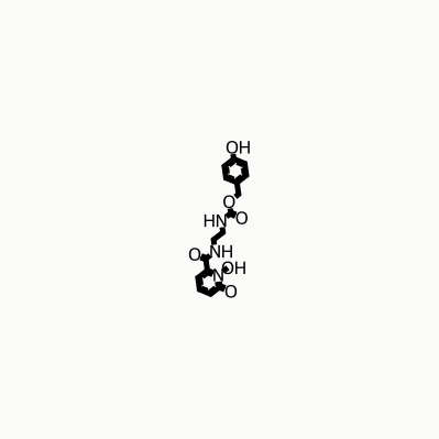 O=C(NCCNC(=O)c1cccc(=O)n1O)OCc1ccc(O)cc1